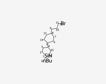 CCCC[SiH]1CCC(C2CCC(CCCBr)CC2)CC1